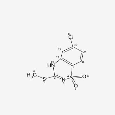 CSC1=NS(=O)(=O)c2ccc(Cl)cc2N1